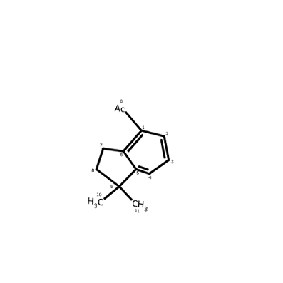 CC(=O)c1cccc2c1CCC2(C)C